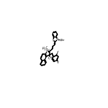 CCCCN1/C(=C/C=C/C2=[N+](C)c3ccc4ccccc4c3C2(C)Cc2ccc(F)cc2F)Sc2ccccc21